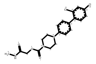 CNC(=O)COC(=O)N1CCN(c2ccc(-c3ccc(Cl)cc3Cl)cc2)CC1